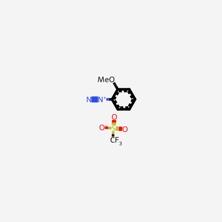 COc1ccccc1[N+]#N.O=S(=O)([O-])C(F)(F)F